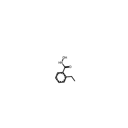 CCc1ccccc1C(=O)NO